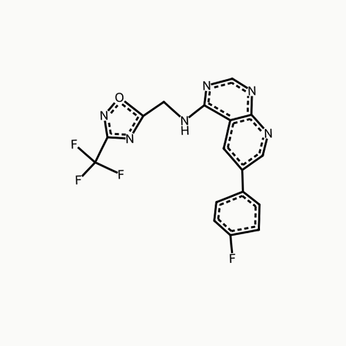 Fc1ccc(-c2cnc3ncnc(NCc4nc(C(F)(F)F)no4)c3c2)cc1